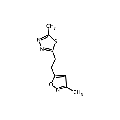 Cc1cc(CCc2nnc(C)s2)on1